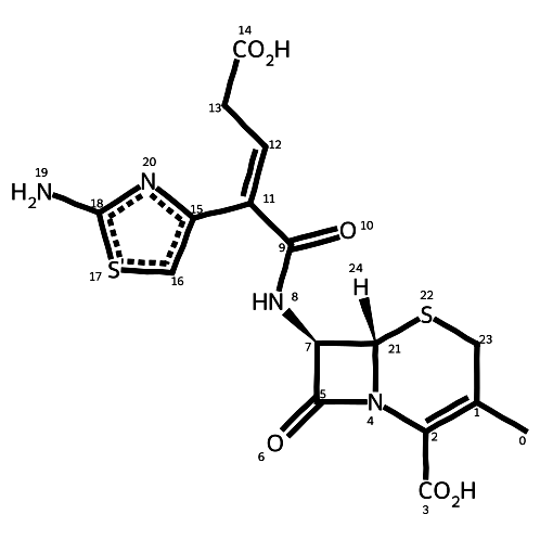 CC1=C(C(=O)O)N2C(=O)[C@@H](NC(=O)C(=CCC(=O)O)c3csc(N)n3)[C@@H]2SC1